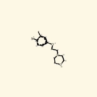 Cc1cc(OCCN2CCOCC2)ccc1Br